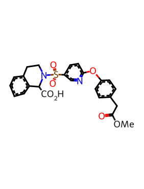 COC(=O)Cc1ccc(Oc2ccc(S(=O)(=O)N3CCc4ccccc4C3C(=O)O)cn2)cc1